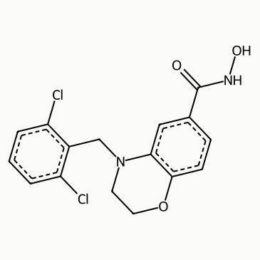 O=C(NO)c1ccc2c(c1)N(Cc1c(Cl)cccc1Cl)CCO2